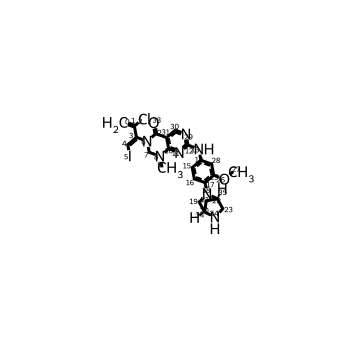 C=C(Cl)/C(=C/I)N1CN(C)c2nc(Nc3ccc(N4C[C@@H]5C[C@H]4CN5)c(OC)c3)ncc2C1=O